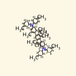 Cc1ccc(N(c2cccc(C)c2)c2ccc3c(c2)C(C)(C)c2cc4c(c(C)c2-3)C(C)(C)c2cc(N(c3ccc(C)cc3)c3cccc(C)c3)cc(C)c2-4)cc1